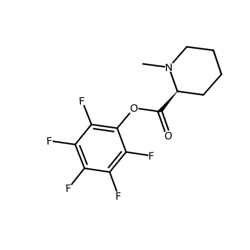 CN1CCCC[C@H]1C(=O)Oc1c(F)c(F)c(F)c(F)c1F